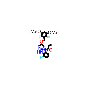 C=CC(=O)Nc1cccc(F)c1Nc1ncc(OCc2c(F)c(OC)cc(OC)c2F)cn1